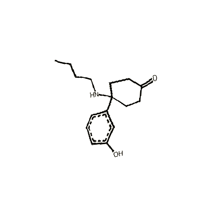 CCCCNC1(c2cccc(O)c2)CCC(=O)CC1